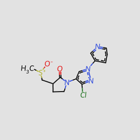 C[S+]([O-])CC1CCN(c2cn(-c3cccnc3)nc2Cl)C1=O